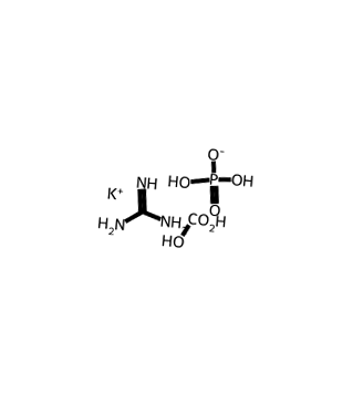 N=C(N)N.O=C(O)O.O=P([O-])(O)O.[K+]